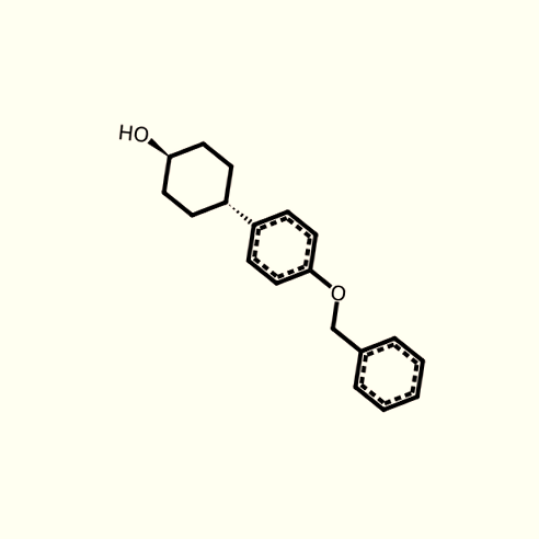 O[C@H]1CC[C@H](c2ccc(OCc3ccccc3)cc2)CC1